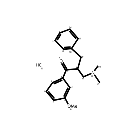 COc1cccc(C(=O)C(Cc2ccccc2)CN(C)C)c1.Cl